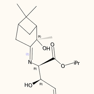 C=C[C@@H](O)[C@@H](/N=C1/CC2CC(C2(C)C)[C@@]1(C)O)C(=O)OC(C)C